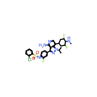 CNC1C(F)CC(c2cnc(N)c3c(-c4ccc(NS(=O)(=O)c5ccccc5Cl)c(F)c4)nn(C(C)C)c23)CC1F